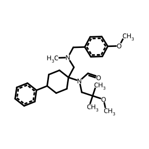 COc1ccc(CN(C)CC2(N(C=O)CC(C)(C)OC)CCC(c3ccccc3)CC2)cc1